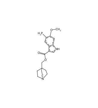 COc1cc2[nH]cc(C(=O)OCC34CCN(CC3)CC4)c2cc1P